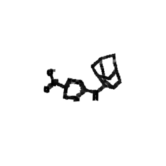 O=[N+]([O-])c1ccc(NC2C3CC4CC(C3)CC2C4)nc1